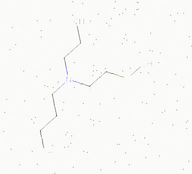 CCCCN(CCC)CCSC